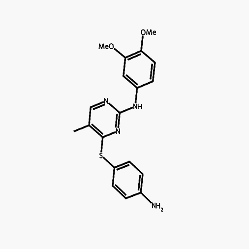 COc1ccc(Nc2ncc(C)c(Sc3ccc(N)cc3)n2)cc1OC